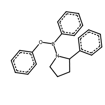 c1ccc(OB(c2ccccc2)N2CCCC2c2ccccc2)cc1